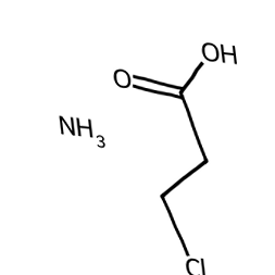 N.O=C(O)CCCl